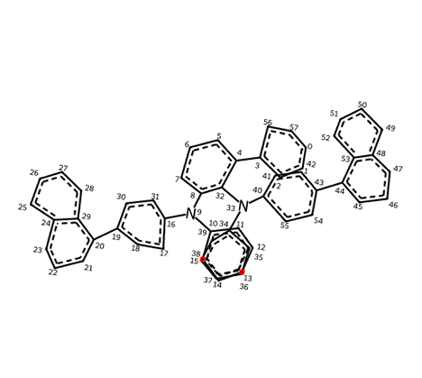 c1ccc(-c2cccc(N(c3ccccc3)c3ccc(-c4cccc5ccccc45)cc3)c2N(c2ccccc2)c2ccc(-c3cccc4ccccc34)cc2)cc1